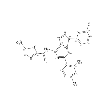 O=C(Nc1nc(-c2ccc(C(F)(F)F)cc2C(F)(F)F)nc2c1cnn2-c1cccc(Cl)c1)c1ccc([N+](=O)[O-])s1